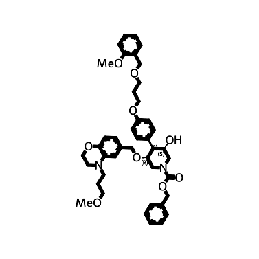 COCCCN1CCOc2ccc(CO[C@H]3CN(C(=O)OCc4ccccc4)C[C@@H](O)[C@@H]3c3ccc(OCCCOCc4ccccc4OC)cc3)cc21